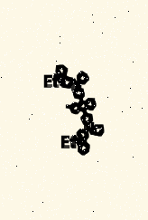 CCn1c2ccccc2c2cc(N(c3ccccc3)c3ccc(-c4c5ccccc5c(-c5ccc(N(c6ccccc6)c6ccc7c(c6)c6ccccc6n7CC)cc5)c5cc(C)ccc45)cc3)ccc21